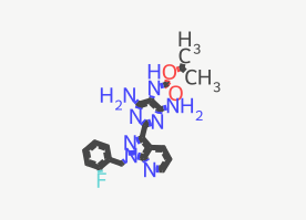 CC(C)OC(=O)Nc1c(N)nc(-c2nn(Cc3ccccc3F)c3ncccc23)nc1N